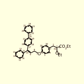 CCOC(=O)[C@H](Cc1ccc(OCC=C(c2ccccc2)c2ccc(-c3ccccc3)cc2)cc1)OCC